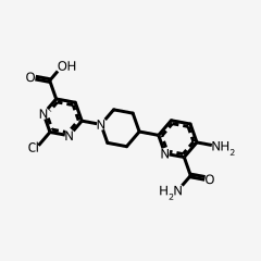 NC(=O)c1nc(C2CCN(c3cc(C(=O)O)nc(Cl)n3)CC2)ccc1N